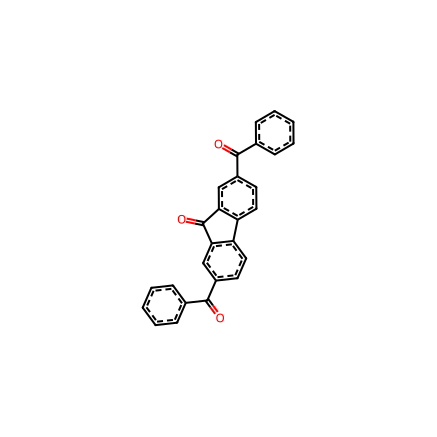 O=C(c1ccccc1)c1ccc2c(c1)C(=O)c1cc(C(=O)c3ccccc3)ccc1-2